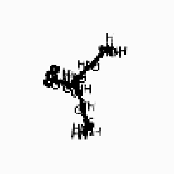 N=C1NC2CSC(CCCCC(=O)NCCCCC(=O)Nc3cc(NC(=O)CCCCNC(=O)CCCCC4SCC5NC(=N)NC54)cc(C(=O)NCCC(=O)N4Cc5ccccc5C#Cc5ccccc54)c3)C2N1